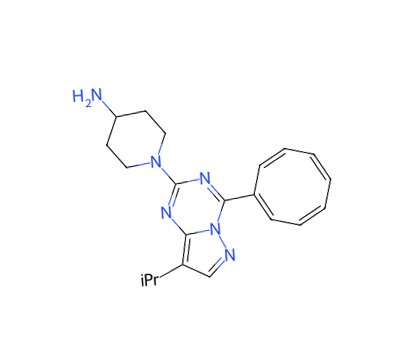 CC(C)c1cnn2c(C3=C/C=C\C=C/C=C\3)nc(N3CCC(N)CC3)nc12